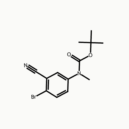 CN(C(=O)OC(C)(C)C)c1ccc(Br)c(C#N)c1